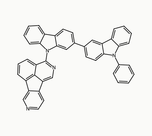 c1ccc(-n2c3ccccc3c3cc(-c4ccc5c6ccccc6n(-c6ncc7c8c(cccc68)-c6cnccc6-7)c5c4)ccc32)cc1